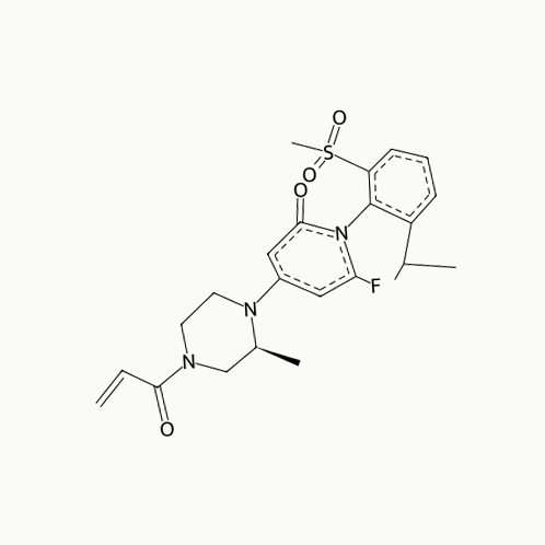 C=CC(=O)N1CCN(c2cc(F)n(-c3c(C(C)C)cccc3S(C)(=O)=O)c(=O)c2)[C@@H](C)C1